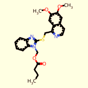 CCCC(=O)OCn1c(SCc2nccc3cc(OC)c(OC)cc23)nc2ccccc21